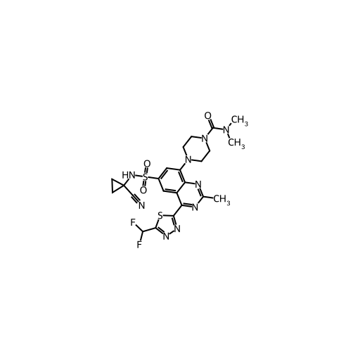 Cc1nc(-c2nnc(C(F)F)s2)c2cc(S(=O)(=O)NC3(C#N)CC3)cc(N3CCN(C(=O)N(C)C)CC3)c2n1